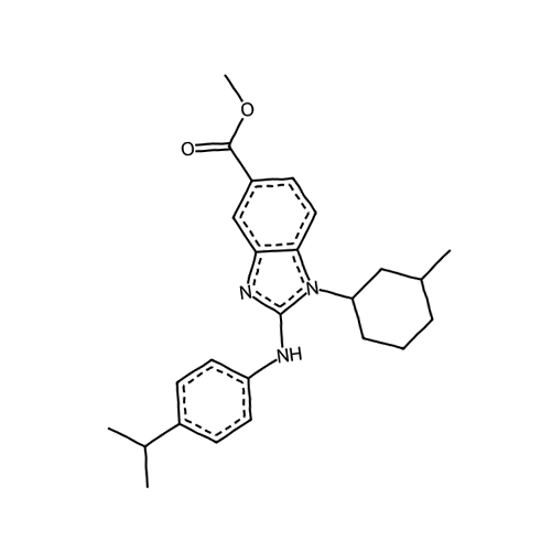 COC(=O)c1ccc2c(c1)nc(Nc1ccc(C(C)C)cc1)n2C1CCCC(C)C1